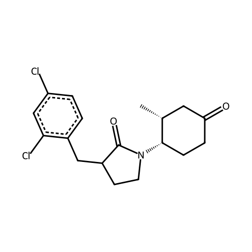 C[C@@H]1CC(=O)CC[C@@H]1N1CCC(Cc2ccc(Cl)cc2Cl)C1=O